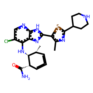 Cc1nc(C2CCNCC2)sc1-c1nc2c(N[C@@H]3[C@H](C)C=C=C[C@@H]3C(N)=O)c(Cl)cnc2[nH]1